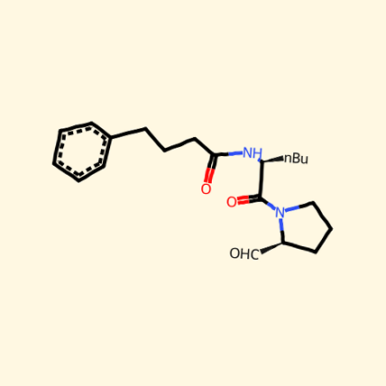 CCCC[C@H](NC(=O)CCCc1ccccc1)C(=O)N1CCC[C@H]1C=O